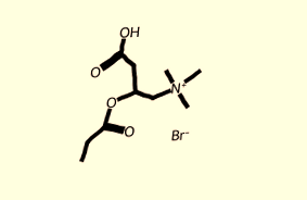 CCC(=O)OC(CC(=O)O)C[N+](C)(C)C.[Br-]